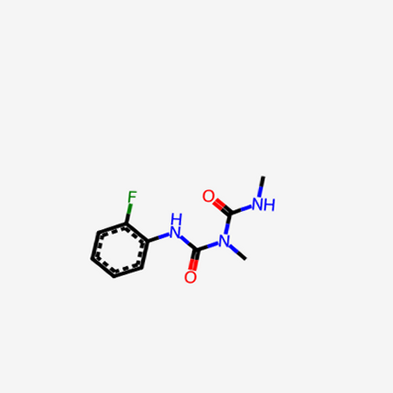 CNC(=O)N(C)C(=O)Nc1ccccc1F